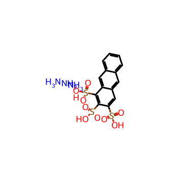 N.N.N.O=S(=O)(O)c1cc2cc3ccccc3cc2c(S(=O)(=O)O)c1S(=O)(=O)O